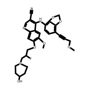 COCC#Cc1ccc(Nc2c(C#N)cnc3cc(OCC(F)CN4CCC(O)CC4)c(OC)cc23)c2c1OCO2